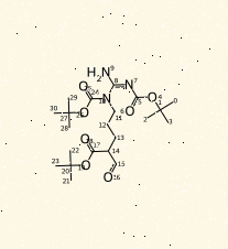 CC(C)(C)OC(=O)N=C(N)N(CCCC(C=O)C(=O)OC(C)(C)C)C(=O)OC(C)(C)C